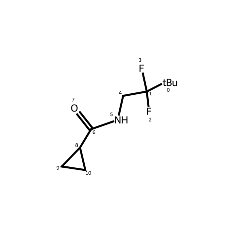 CC(C)(C)C(F)(F)CNC(=O)C1CC1